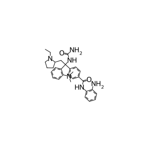 CCN1CCCC1CC(NC(N)=O)(c1ccc(C(=O)Nc2ccccc2N)cc1)c1ccccc1N(C)C